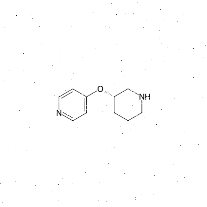 c1cc(O[C@H]2CCCNC2)ccn1